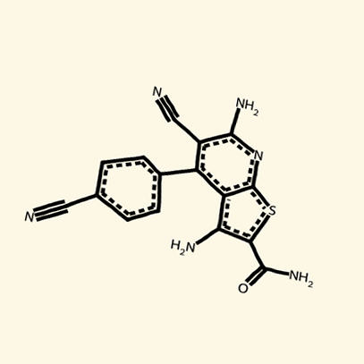 N#Cc1ccc(-c2c(C#N)c(N)nc3sc(C(N)=O)c(N)c23)cc1